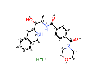 CC(NC(=O)c1ccc(C(=O)N2CCOCC2)cc1)[C@H](O)[C@@H]1Cc2ccccc2CN1.Cl